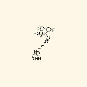 O=C(O)C(c1cc(F)ccc1C1CCOCC1)N1CC[C@@H](OCCCCCc2ccc3c(n2)CCCN3)C1